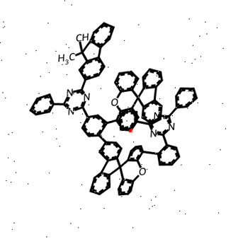 CC1(C)c2ccccc2-c2ccc(-c3nc(-c4ccccc4)nc(-c4ccc(-c5ccc6c(c5)-c5ccccc5C65c6ccccc6Oc6c(-c7ccccc7-c7nc(-c8ccccc8)nc(-c8ccccc8)n7)cccc65)c(-c5cccc6c5Oc5ccccc5C65c6ccccc6-c6ccccc65)c4)n3)cc21